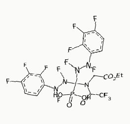 CCOC(=O)CN(C(=O)C(F)(F)F)C(N(F)N(F)c1ccc(F)c(F)c1F)(N(F)N(F)c1ccc(F)c(F)c1F)P(=O)(O)O